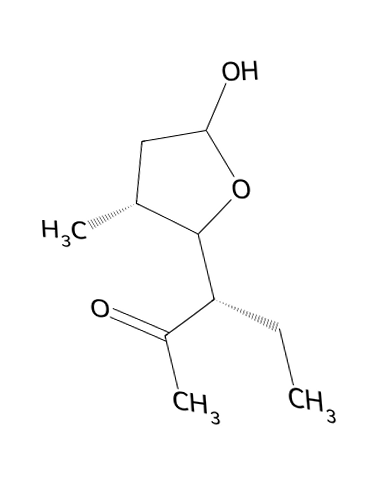 CC[C@H](C(C)=O)C1OC(O)C[C@H]1C